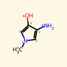 Cn1cc(N)c(O)c1